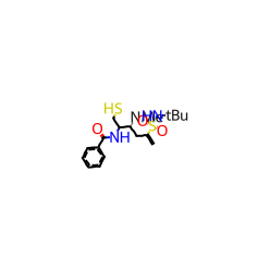 C=C(C[C@@H](NC)C(CS)NC(=O)c1ccccc1)S(=O)(=O)NC(C)(C)C